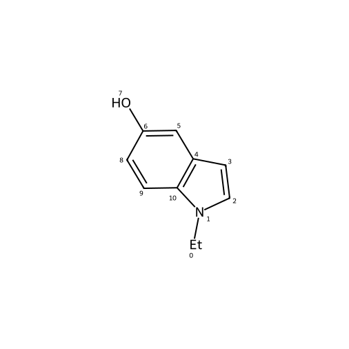 [CH2]Cn1ccc2cc(O)ccc21